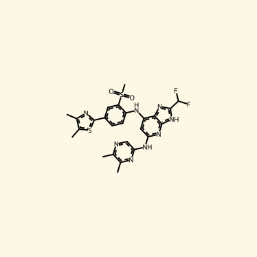 Cc1ncc(Nc2cc(Nc3ccc(-c4nc(C)c(C)s4)cc3S(C)(=O)=O)c3nc(C(F)F)[nH]c3n2)nc1C